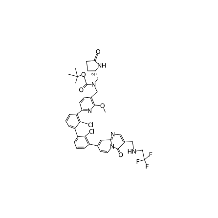 COc1nc(-c2cccc(-c3cccc(-c4ccn5c(=O)c(CNCC(F)(F)F)cnc5c4)c3Cl)c2Cl)ccc1CN(C[C@@H]1CCC(=O)N1)C(=O)OC(C)(C)C